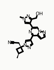 Cn1cc(-c2cn3nccc3c(-c3cnn([C@]4(CC#N)C[C@@H](C)C4)c3)n2)c(CO)n1